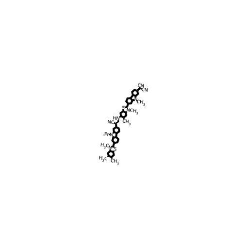 Cc1cc2c(cc1C)N(C)/C(=c1/ccc3c4cc/c(=C(/C#N)CNc5cc6c(cc5C)N(C)/C(=c5/ccc7c8ccc(=C(C#N)C#N)cc8n(C)c7c5)S6)cc4n(C(C)C)c3c1)S2